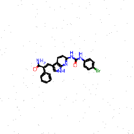 NC(=O)/C(=C/c1c[nH]c2nc(NC(=O)Nc3ccc(Br)cc3)ccc12)c1ccccc1